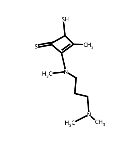 CC1=C(N(C)CCCN(C)C)C(=S)C1S